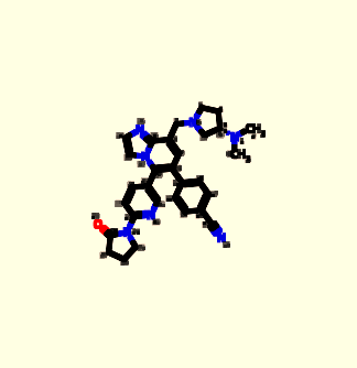 CN(C)[C@H]1CCN(Cc2cc(-c3ccc(C#N)cc3)c(-c3ccc(N4CCCC4=O)nc3)n3ccnc23)C1